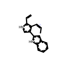 C=Cc1[nH]cc(-c2cc3ccccc3[nH]2)c1/C=C\C